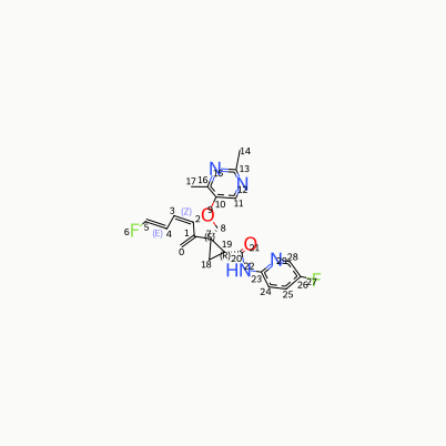 C=C(/C=C\C=C\F)[C@]1(COc2cnc(C)nc2C)C[C@H]1C(=O)Nc1ccc(F)cn1